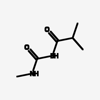 CNC(=O)BC(=O)C(C)C